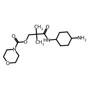 CC(C)(COC(=O)N1CCOCC1)C(=O)NC1CCC(N)CC1